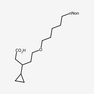 CCCCCCCCCCCCCCOCCC(CC(=O)O)C1CC1